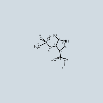 O=C(OF)C1CNC(F)C1OS(=O)(=O)C(F)(F)F